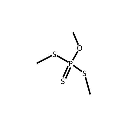 COP(=S)(SC)SC